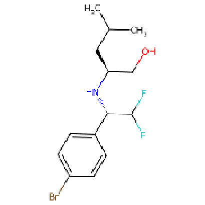 CC(C)C[C@@H](CO)N[C@@H](c1ccc(Br)cc1)C(F)F